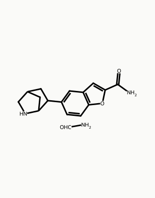 NC(=O)c1cc2cc(C3CC4CNC3C4)ccc2o1.NC=O